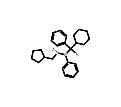 CC(=O)N(CC1CCCC1)[N+](c1ccccc1)C(C(C)=O)(c1ccccc1)C1CCCCC1